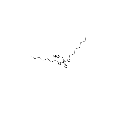 CCCCCCCOP(=O)(CO)OCCCCCCC